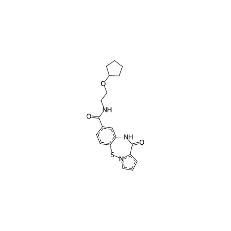 O=C(NCCOC1CCCC1)c1ccc2c(c1)NC(=O)c1cccn1S2